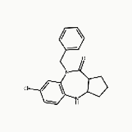 O=C1C2CCCC2Nc2ccc(Cl)cc2N1Cc1ccccc1